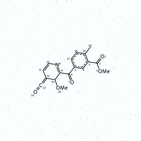 COC(=O)c1cc(C(=O)C2=NC=CC(=C=O)C2OC)ccc1C